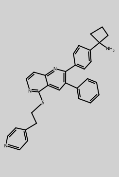 NC1(c2ccc(-c3nc4ccnc(SCCc5ccncc5)c4cc3-c3ccccc3)cc2)CCC1